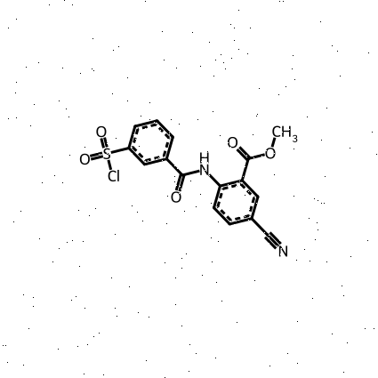 COC(=O)c1cc(C#N)ccc1NC(=O)c1cccc(S(=O)(=O)Cl)c1